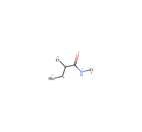 CCNC(=O)C(CC)CC(C)(C)C